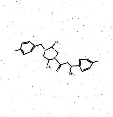 CC1CN(C(=O)CC(N)c2ccc(Cl)cc2)C(C)CN1Cc1ccc(F)cc1